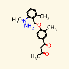 CC(=O)CC(=O)c1ccc(OCc2c(C)cccc2N(C)N)c(C)c1